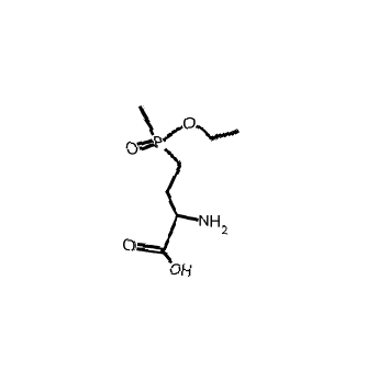 CCOP(C)(=O)CCC(N)C(=O)O